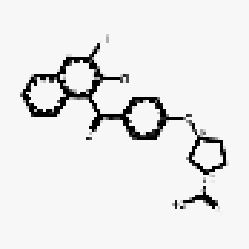 O=C(c1ccc(O[C@H]2CC[C@H](C(=O)O)C2)cc1)c1c(Cl)c(Cl)cc2ccccc12